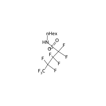 CCCCCCNS(=O)(=O)C(F)(F)C(F)(F)C(F)(F)C(F)(F)F